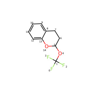 FC(F)(F)OC1CCc2ccccc2O1